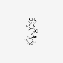 CCc1ccc(C(=O)C[Se]c2ccccc2)cc1